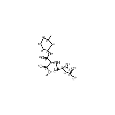 COC(=O)C(NC(=O)C(N)CC(=O)O)C(=O)OC1CCCC(C)C1